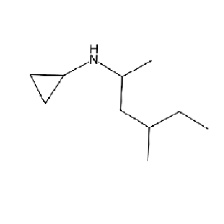 CCC(C)CC(C)NC1CC1